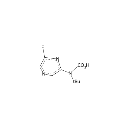 CC(C)(C)N(C(=O)O)c1cncc(F)n1